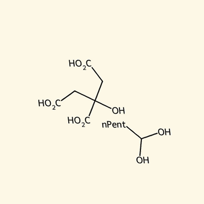 CCCCCC(O)O.O=C(O)CC(O)(CC(=O)O)C(=O)O